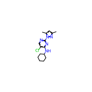 Cc1cc(C)n(-c2ncc(Cl)c(NC3CCCCC3)n2)n1